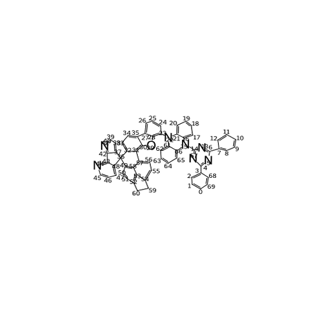 c1ccc(-c2nc(-c3ccccc3)nc(N3c4ccccc4N(c4cccc5c4oc4c6c(ccc45)C4(c5cccnc5-c5ncccc54)c4ccc5c7c(ccc-6c47)CC5)c4ccccc43)n2)cc1